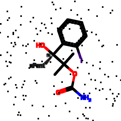 CCCCC[C@](O)(c1ccccc1I)C(C)(C)OC(N)=O